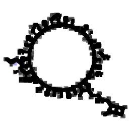 C/C=C/C[C@@H](C)[C@@H](O)[C@H]1C(=O)N[C@@H](CC)C(=O)N(C)[C@H](C)C(=O)N(C)[C@@H]([C@H](C)CCCNCC2C3CCC3N2C)C(=O)N[C@@H](C(C)C)C(=O)N(C)[C@@H](CC(C)C)C(=O)N[C@@H](C)C(=O)N[C@H](C)C(=O)N(C)[C@@H](CC(C)C)C(=O)N(C)[C@@H](CC(C)C)C(=O)N(C)[C@@H](C(C)C)C(=O)N1C